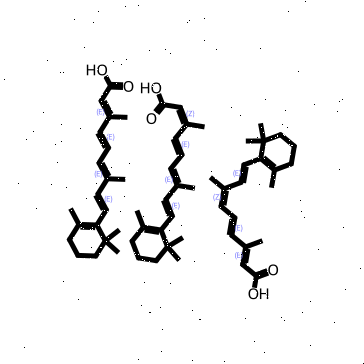 CC1=C(/C=C/C(C)=C/C=C/C(C)=C/C(=O)O)C(C)(C)CCC1.CC1=C(/C=C/C(C)=C/C=C/C(C)=C\C(=O)O)C(C)(C)CCC1.CC1=C(/C=C/C(C)=C\C=C\C(C)=C\C(=O)O)C(C)(C)CCC1